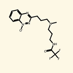 CN(CCCNC(=O)C(F)(F)F)CCCc1nc2ccccc2[n+]([O-])n1